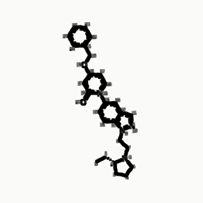 CC[C@H]1CCCN1CCn1ncc2cc(-n3ccc(OCc4ccccc4)cc3=O)ccc21